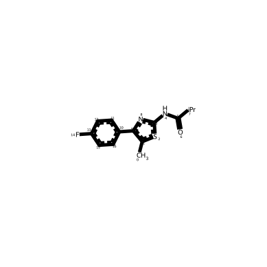 Cc1sc(NC(=O)C(C)C)nc1-c1ccc(F)cc1